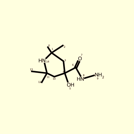 CC1(C)CC(O)(C(=O)NN)CC(C)(C)N1